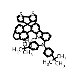 Cn1c2c(N(c3ccc(C(C)(C)C)cc3)c3ccc(C(C)(C)C)cc3)cccc2c2ccc3c(c21)-c1ccc2c4c(ccc(c14)C31c3ccsc3-c3sccc31)CC2